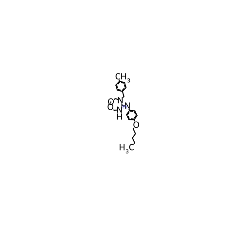 CCCCCOc1ccc(/N=C2\NCOOCN2Cc2ccc(C)cc2)cc1